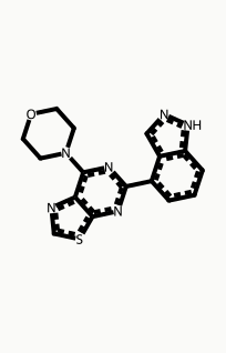 c1cc(-c2nc(N3CCOCC3)c3ncsc3n2)c2cn[nH]c2c1